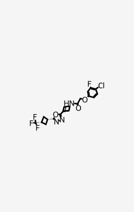 O=C(COc1ccc(Cl)c(F)c1)NC12CC(c3nnc([C@H]4C[C@@H](C(F)(F)F)C4)o3)(C1)C2